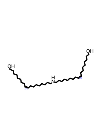 OCCCCCCCC/C=C\CCCCCCCCNCCCCCCCC/C=C\CCCCCCCCO